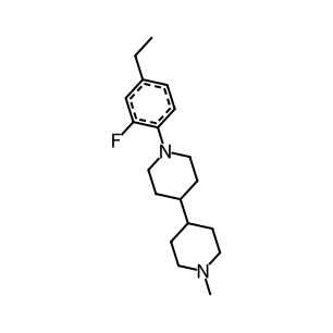 CCc1ccc(N2CCC(C3CCN(C)CC3)CC2)c(F)c1